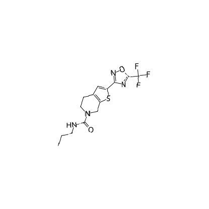 CCCNC(=O)N1CCc2cc(-c3noc(C(F)(F)F)n3)sc2C1